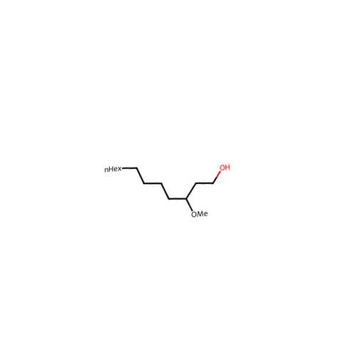 CCCCCCCCCCC(CCO)OC